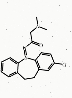 CN(C)CC(=O)/N=S1/c2ccccc2CCc2cc(Cl)ccc21